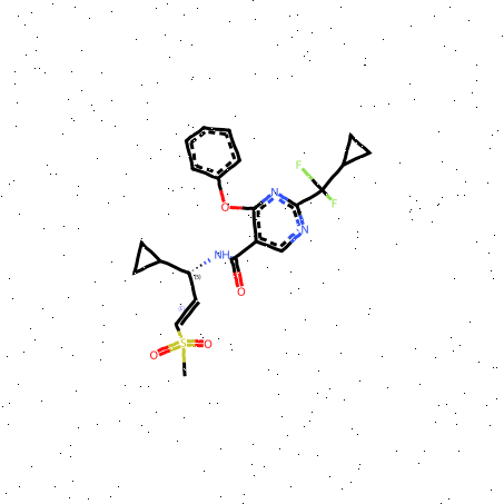 CS(=O)(=O)/C=C/[C@@H](NC(=O)c1cnc(C(F)(F)C2CC2)nc1Oc1ccccc1)C1CC1